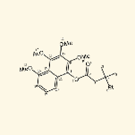 CCC(C)(C)CC(=O)Oc1c(OC)c(OC)c(OC(C)=O)c2c(OC)cccc12